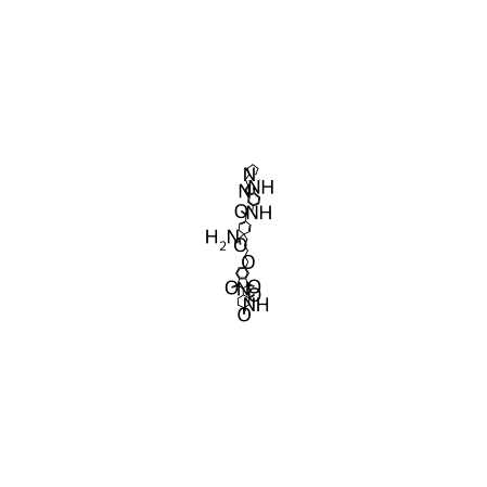 C[C@H]1CCCN1Cc1nc2cc(NC(=O)C3=CCC(CCCCOc4ccc5c(c4)C(=O)N(C4CCC(=O)NC4=O)C5=O)(C(N)=O)C=C3)ccc2[nH]1